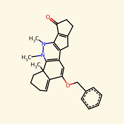 CN1C2=C(CC3=C2C(=O)CC3)C2=C(N1C)C1(C)CCCC=C1C(OCc1ccccc1)=C2